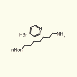 Br.CCCCCCCCCCCCCCCCN.c1ccncc1